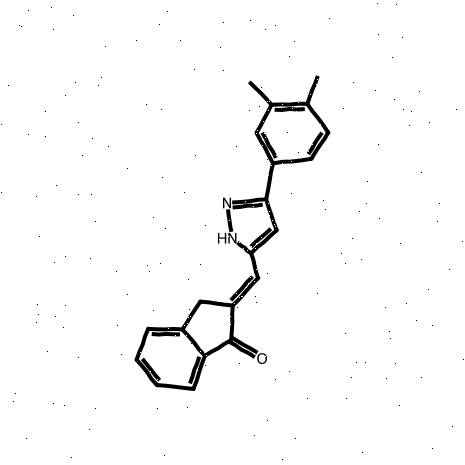 Cc1ccc(-c2cc(/C=C3\Cc4ccccc4C3=O)[nH]n2)cc1C